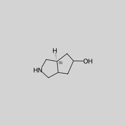 OC1CC2CNC[C@H]2C1